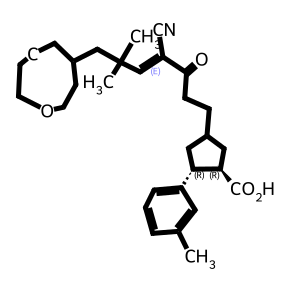 Cc1cccc([C@@H]2CC(CCC(=O)/C(C#N)=C/C(C)(C)CC3CCCCOCC3)C[C@H]2C(=O)O)c1